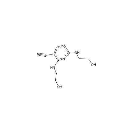 N#Cc1ccc(NCCO)nc1NCCO